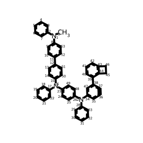 CN(c1ccccc1)c1ccc(-c2ccc(N(c3ccccc3)c3ccc(N(c4ccccc4)c4cc#cc(-c5cccc6c5CC6)c4)cc3)cc2)cc1